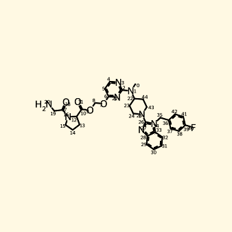 CN(c1nccc(OCOC(=O)C2CCCN2C(=O)CN)n1)C1CCN(c2nc3ccccc3n2Cc2ccc(F)cc2)CC1